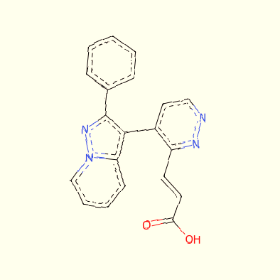 O=C(O)C=Cc1nnccc1-c1c(-c2ccccc2)nn2ccccc12